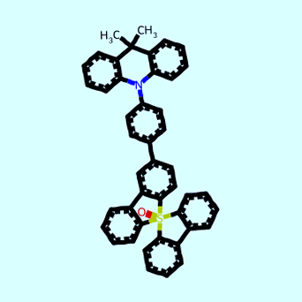 CC1(C)c2ccccc2N(c2ccc(-c3ccc4c(c3)-c3ccccc3S43(=O)c4ccccc4-c4ccccc43)cc2)c2ccccc21